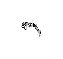 Cn1c(=O)c(-c2c(Cl)cccc2Cl)cc2cnc(Nc3ccc(OCC4CC5(CCNC5)C4)nn3)nc21